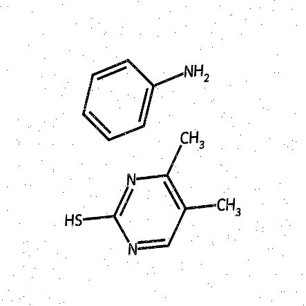 Cc1cnc(S)nc1C.Nc1ccccc1